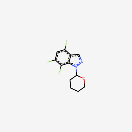 Fc1cc(F)c2cnn(C3CCCCO3)c2c1F